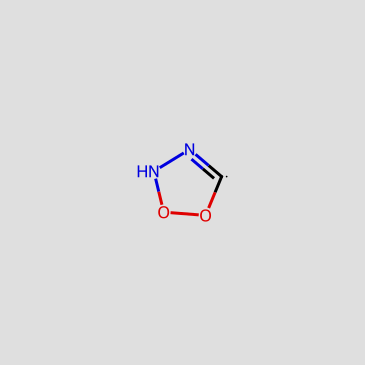 [C]1=NNOO1